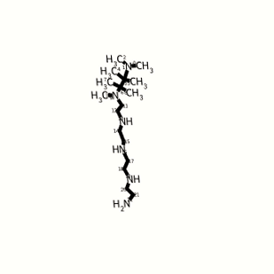 CN(C)C(C)(C)C(C)(C)N(C)CCNCCNCCNCCN